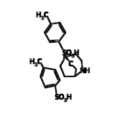 C1CN2CCC(CC2)N1.Cc1ccc(S(=O)(=O)O)cc1.Cc1ccc(S(=O)(=O)O)cc1